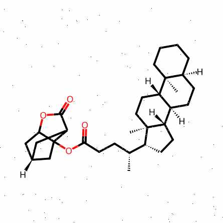 C[C@H](CCC(=O)OC12C[C@@H]3CC1OC(=O)C2C3)[C@H]1CC[C@H]2[C@@H]3CC[C@@H]4CCCC[C@]4(C)[C@H]3CC[C@]12C